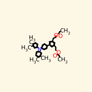 C=CC(=O)OCCc1cc(CCOC(=O)C=C)cc(-c2ccc(N(c3ccc(C)c(C)c3)c3ccc(C)c(C)c3)cc2)c1